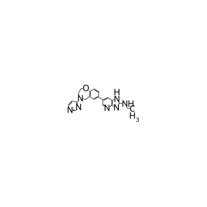 CCNc1nc2ncc(-c3ccc4c(c3)CN(c3ccncn3)CCO4)cc2[nH]1